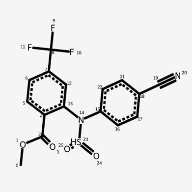 COC(=O)c1ccc(C(F)(F)F)cc1N(c1ccc(C#N)cc1)[SH](=O)=O